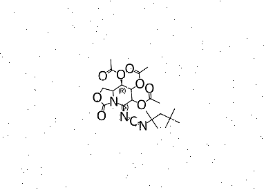 CC(=O)OC1C(OC(C)=O)[C@@H](N=C=NC(C)(C)CC(C)(C)C)N2C(=O)OCC2[C@H]1OC(C)=O